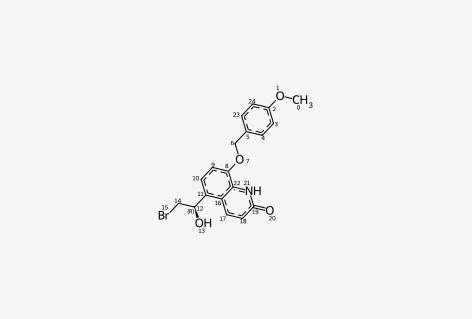 COc1ccc(COc2ccc([C@@H](O)CBr)c3ccc(=O)[nH]c23)cc1